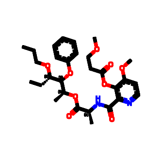 CCCO[C@@H](CC)[C@@H](Oc1ccccc1)[C@H](C)OC(=O)[C@H](C)NC(=O)c1nccc(OC)c1OC(=O)CCOC